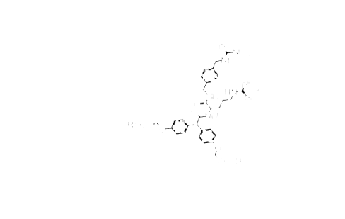 N=C(N)NCCC[C@@H](NC(=O)C(c1ccc(OCC(=O)O)cc1)c1ccc(OCC(=O)O)cc1)C(=O)NCc1ccc(CNC(N)=O)cc1